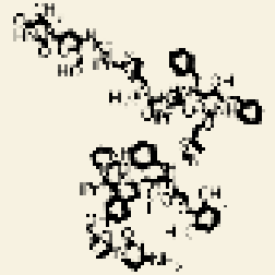 CC(C)c1nc(CN(C)C(=O)N[C@H](C(=O)N[C@@H](Cc2ccccc2)C[C@H](O)[C@H](Cc2ccccc2)NC(=O)OCc2cncs2)C(C)C)cs1.Cc1cccc(C)c1OCC(=O)N[C@@H](Cc1ccccc1)[C@@H](O)C[C@H](Cc1ccccc1)NC(=O)[C@H](C(C)C)N1CCCNC1=O.Cc1cn([C@H]2C[C@H](N=[N+]=[N-])[C@@H](CO)O2)c(=O)[nH]c1=O.Nc1ccn([C@H]2CS[C@@H](CO)O2)c(=O)n1